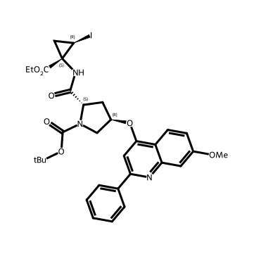 CCOC(=O)[C@@]1(NC(=O)[C@@H]2C[C@@H](Oc3cc(-c4ccccc4)nc4cc(OC)ccc34)CN2C(=O)OC(C)(C)C)C[C@H]1I